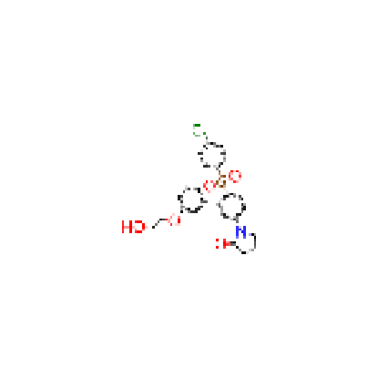 O=C1CCCN1c1ccc(S(=O)(=O)c2ccc(Cl)cc2)c(-c2cccc(OCCO)c2)c1